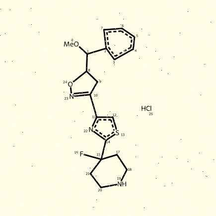 COC(c1ccccc1)C1CC(c2csc(C3(F)CCNCC3)n2)=NO1.Cl